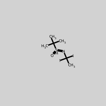 CC(I)(I)N=[SH](=O)C(C)(C)C